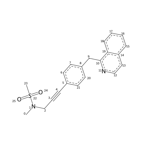 CN(CC#Cc1ccc(Cc2nccc3ccccc23)cc1)S(C)(=O)=O